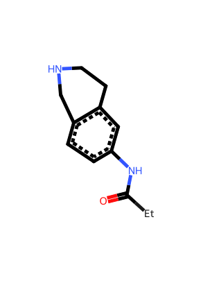 CCC(=O)Nc1ccc2c(c1)CCNC2